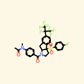 CC(=O)N(C)c1ccc(C(=O)N2CCC3(S(=O)(=O)c4ccc(F)cc4)c4ccc(C(F)(C(F)(F)F)C(F)(F)F)cc4CC23)cc1